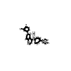 Cc1cccc(-c2ccc3nccc(Nc4ccc(N5CCN(C)CC5)cc4)c3c2)c1